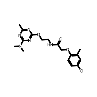 Cc1nc(OCCNC(=O)COc2ccc(Cl)cc2C)nc(N(C)C)n1